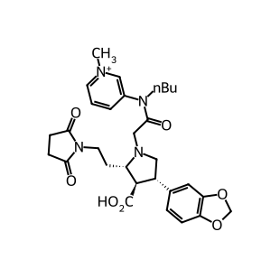 CCCCN(C(=O)CN1C[C@H](c2ccc3c(c2)OCO3)[C@@H](C(=O)O)[C@@H]1CCN1C(=O)CCC1=O)c1ccc[n+](C)c1